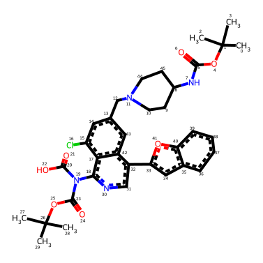 CC(C)(C)OC(=O)NC1CCN(Cc2cc(Cl)c3c(N(C(=O)O)C(=O)OC(C)(C)C)ncc(-c4cc5ccccc5o4)c3c2)CC1